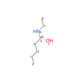 CCCC[C@@H](O)NCC